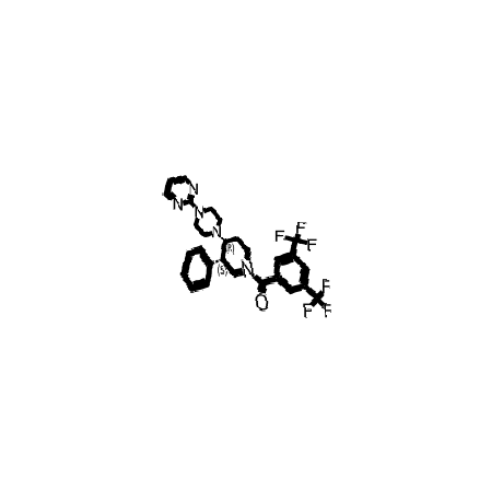 O=C(c1cc(C(F)(F)F)cc(C(F)(F)F)c1)N1CC[C@@H](N2CCN(c3ncccn3)CC2)[C@@H](c2ccccc2)C1